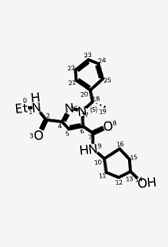 CCNC(=O)c1cc(C(=O)NC2CCC(O)CC2)n([C@@H](C)c2ccccc2)n1